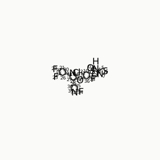 O=S(=O)(Nc1cscn1)c1cc(Cl)c(Oc2cnc(-c3ccc(F)c(F)c3)cc2-c2ccnc(F)c2)cc1F